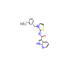 O=C(O)c1cccc(Cn2ccs/c2=N\C(=O)c2c[nH]c3ncccc23)c1